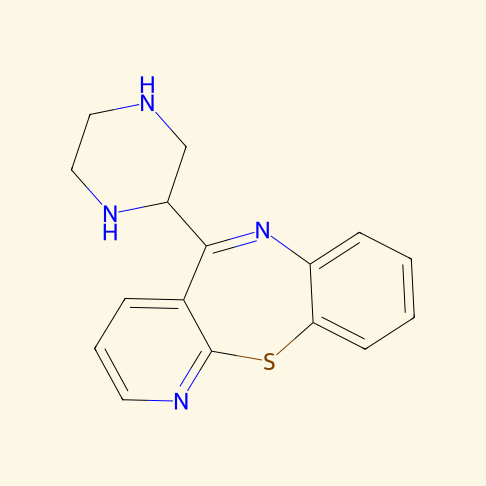 c1ccc2c(c1)N=C(C1CNCCN1)c1cccnc1S2